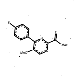 COC(=O)c1ncc(OC)c(-c2ccc(F)cc2)n1